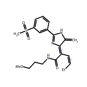 C=c1[nH]c(-c2cccc(S(C)(=O)=O)c2)n/c1=C(/C=C\CC)C(=O)NCCCOC